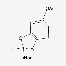 CCCCCCCCCC1(C)Oc2ccc(OC(C)=O)cc2O1